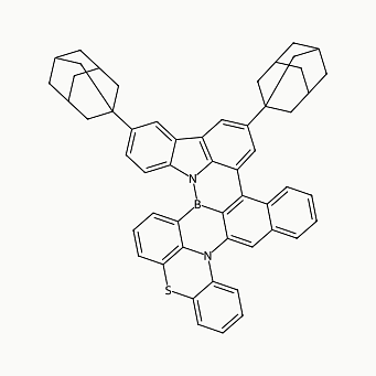 c1ccc2c(c1)Sc1cccc3c1N2c1cc2ccccc2c2c1B3n1c3ccc(C45CC6CC(CC(C6)C4)C5)cc3c3cc(C45CC6CC(CC(C6)C4)C5)cc-2c31